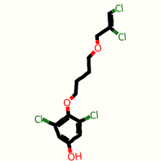 Oc1cc(Cl)c(OCCCCOCC(Cl)=CCl)c(Cl)c1